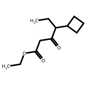 CCOC(=O)CC(=O)C(CC)C1CCC1